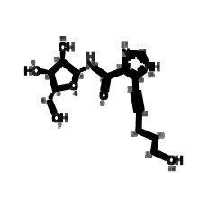 O=C(N[C@@H]1O[C@H](CO)[C@@H](O)[C@H]1O)c1nc[nH]c1C#CCCCO